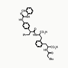 CC(C)CC(C(=O)NC(Cc1ccccc1CC(NC(=O)CC(C)(C)C)C(=O)O)C(=O)O)c1ccc(NC(=NC#N)Nc2ccccc2)cc1